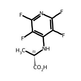 C[C@H](Nc1c(F)c(F)nc(F)c1F)C(=O)O